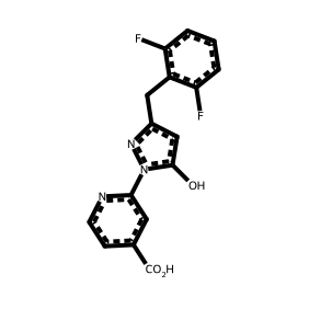 O=C(O)c1ccnc(-n2nc(Cc3c(F)cccc3F)cc2O)c1